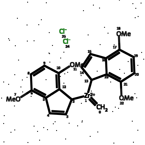 [CH2]=[Zr+2]([CH]1C=Cc2c(OC)ccc(OC)c21)[CH]1C=Cc2c(OC)ccc(OC)c21.[Cl-].[Cl-]